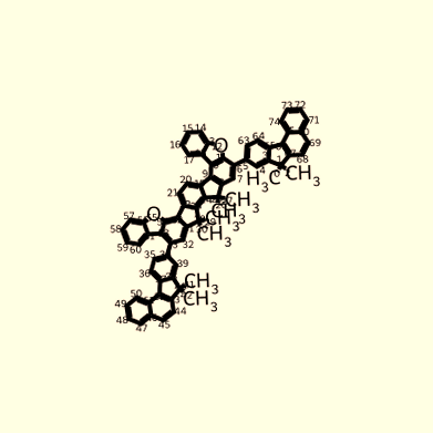 CC1(C)c2cc(-c3cc4c(c5c3oc3ccccc35)-c3ccc5c(c3C4(C)C)C(C)(C)c3cc(-c4ccc6c(c4)C(C)(C)c4ccc7ccccc7c4-6)c4c(oc6ccccc64)c3-5)ccc2-c2c1ccc1ccccc21